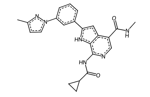 CNC(=O)c1cnc(NC(=O)C2CC2)c2[nH]c(-c3cccc(-n4ccc(C)n4)c3)cc12